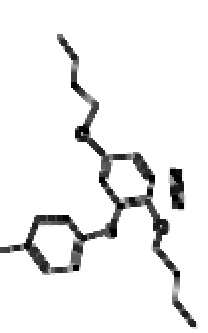 CCCCOc1ccc(OCCCC)c(Sc2ccc(C)cc2)c1.N#N